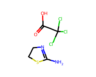 NC1=NCCS1.O=C(O)C(Cl)(Cl)Cl